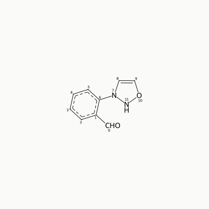 O=Cc1ccccc1N1C=CON1